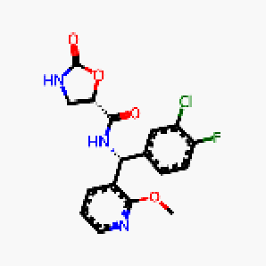 COc1ncccc1[C@H](NC(=O)[C@@H]1CNC(=O)O1)c1ccc(F)c(Cl)c1